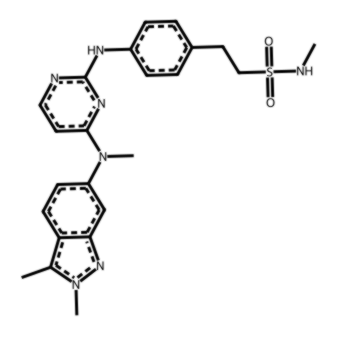 CNS(=O)(=O)CCc1ccc(Nc2nccc(N(C)c3ccc4c(C)n(C)nc4c3)n2)cc1